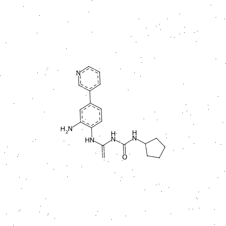 C=C(NC(=O)NC1CCCC1)Nc1ccc(-c2cccnc2)cc1N